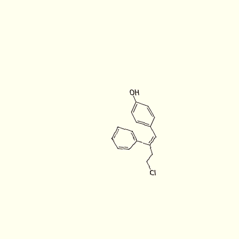 Oc1ccc(C=C(CCCl)c2ccccc2)cc1